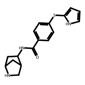 O=C(NC1CC2CC1CN2)c1ccc(Sc2ccc[nH]2)cc1